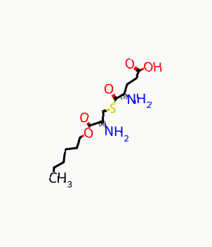 CCCCCCOC(=O)[C@@H](N)CSC(=O)[C@@H](N)CCC(=O)O